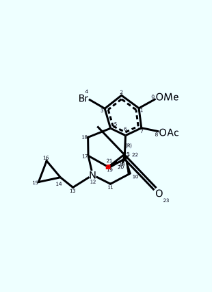 COc1cc(Br)c2c(c1OC(C)=O)[C@@]13CCN(CC4CC4)C(C2)C1CCC(=O)C3